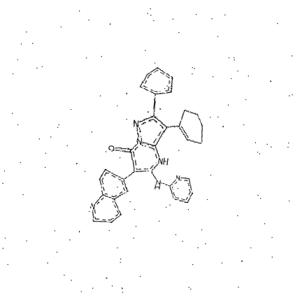 O=c1c(-c2ccc3ncccc3c2)c(Nc2ccccn2)[nH]c2c(C3=CCCCC3)c(-c3ccccc3)nn12